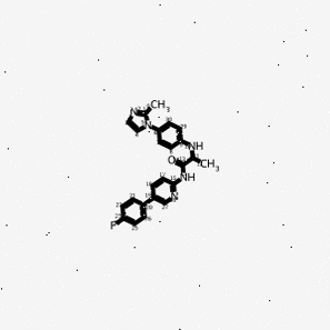 Cc1nccn1-c1ccc(NC(C)C(=O)Nc2ccc(-c3ccc(F)cc3)cn2)cc1